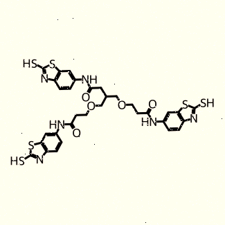 O=C(CCOCC(COCCC(=O)Nc1ccc2nc(S)sc2c1)CC(=O)Nc1ccc2nc(S)sc2c1)Nc1ccc2nc(S)sc2c1